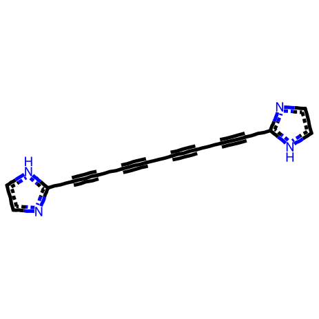 C(C#CC#Cc1ncc[nH]1)#CC#Cc1ncc[nH]1